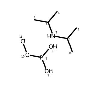 CC(C)NC(C)C.OP(O)OCl